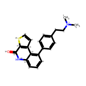 CN(C)CCc1ccc(-c2cccc3[nH]c(=O)c4sccc4c23)cc1